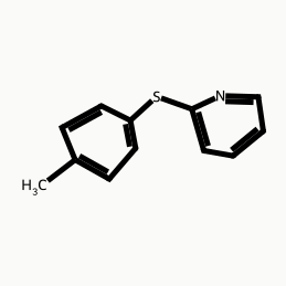 Cc1ccc(Sc2ccccn2)cc1